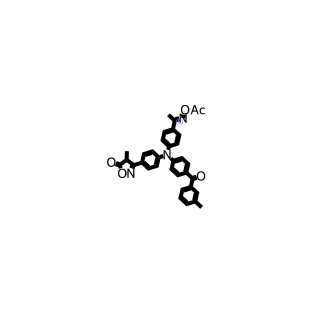 CC(=O)O/N=C(\C)c1ccc(N(c2ccc(C(=O)c3cccc(C)c3)cc2)c2ccc(C3=NOC(=O)C3C)cc2)cc1